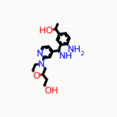 CC(O)c1ccc(N)c(C(=N)c2ccnc(N3CCOC(CCO)C3)c2)c1